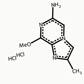 COc1nc(N)cn2cc(C)nc12.Cl.Cl